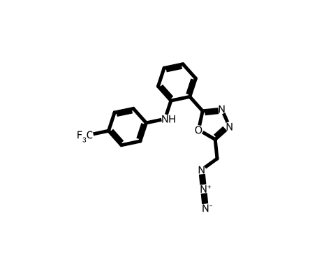 [N-]=[N+]=NCc1nnc(-c2ccccc2Nc2ccc(C(F)(F)F)cc2)o1